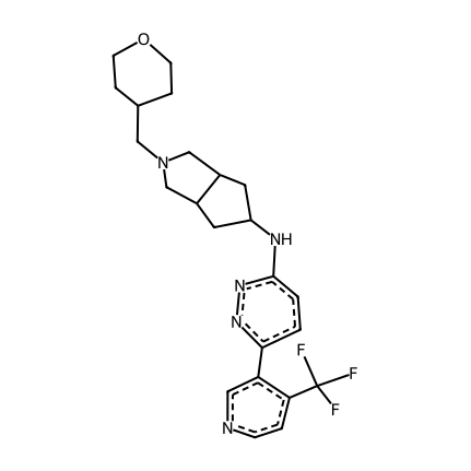 FC(F)(F)c1ccncc1-c1ccc(NC2CC3CN(CC4CCOCC4)CC3C2)nn1